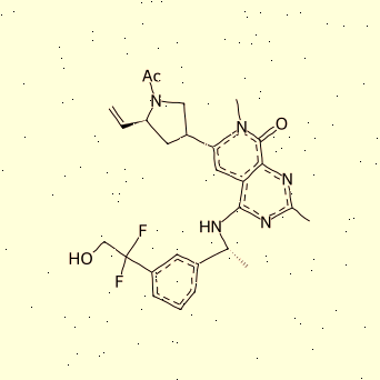 C=C[C@@H]1CC(c2cc3c(N[C@H](C)c4cccc(C(F)(F)CO)c4)nc(C)nc3c(=O)n2C)CN1C(C)=O